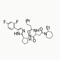 CC[C@H]1CCCCN1C(=O)CC(NC(=O)CCC(C)C)C(=O)N[C@@H]1CCC[C@H]1c1ncc(-c2ccc(F)cc2F)[nH]1